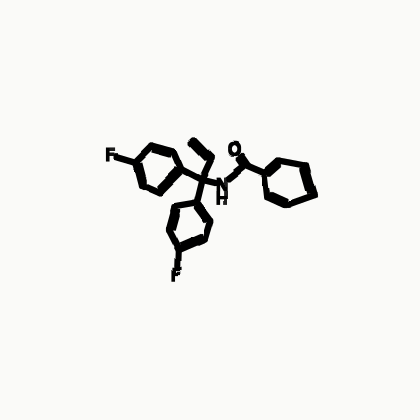 C=CC(NC(=O)c1ccccc1)(c1ccc(F)cc1)c1ccc(F)cc1